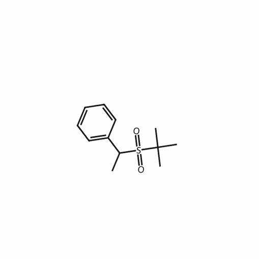 CC(c1ccccc1)S(=O)(=O)C(C)(C)C